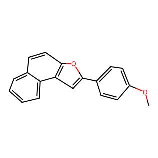 COc1ccc(-c2cc3c(ccc4ccccc43)o2)cc1